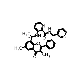 Cc1cc([C@@H](C)Nc2cccnc2C(=O)NCc2cccnc2)c2oc(-c3ccccc3)c(C)c(=O)c2c1